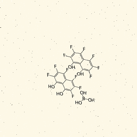 OB(O)O.Oc1c(F)c(F)c(F)c2c(F)c(F)c(F)c(O)c12.Oc1c(F)c(F)c(F)c2c(F)c(F)c(F)c(O)c12